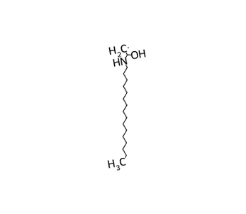 [CH2]C(O)NCCCCCCCCCCCCCCCC